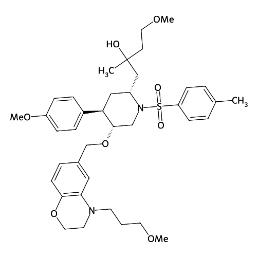 COCCCN1CCOc2ccc(CO[C@H]3CN(S(=O)(=O)c4ccc(C)cc4)[C@@H](CC(C)(O)CCOC)C[C@@H]3c3ccc(OC)cc3)cc21